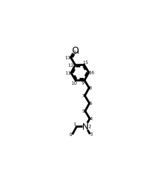 CCN(C)CCCCCc1ccc(C=O)cc1